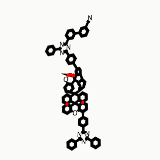 N#Cc1cccc(-c2cccc(-c3nc(-c4ccccc4)nc(-c4ccc(-c5ccc6c(c5)C57c8ccccc8Oc8ccc(cc85)C5(c8ccc-6c7c8)c6ccccc6C6(c7ccccc7Oc7c(-c8ccc(-c9nc(-c%10ccccc%10)nc(-c%10ccccc%10)n9)cc8)cccc76)c6ccccc65)cc4)n3)c2)c1